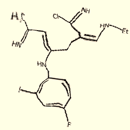 CCN/C=C(/C/C(=C/C(C)=N)Nc1ccc(F)cc1I)C(=N)Cl